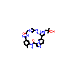 Cc1ccc(-c2noc(CN3CC(N)C3)n2)cc1NC(=O)c1cnc2ccc(-c3cnn(CC(C)(C)O)c3)cn12